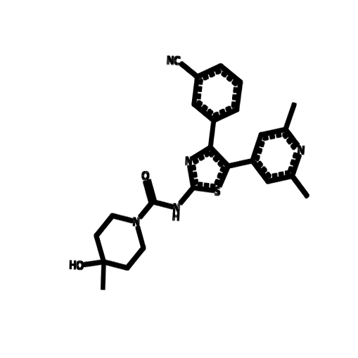 Cc1cc(-c2sc(NC(=O)N3CCC(C)(O)CC3)nc2-c2cccc(C#N)c2)cc(C)n1